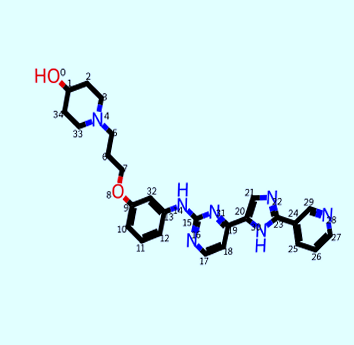 OC1CCN(CCCOc2cccc(Nc3nccc(-c4cnc(-c5cccnc5)[nH]4)n3)c2)CC1